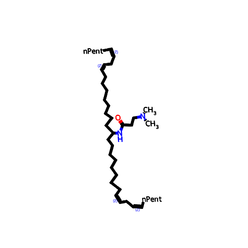 CCCCC/C=C\C/C=C\CCCCCCCCC(CCCCCCCC/C=C\C/C=C\CCCCC)NC(=O)CCN(C)C